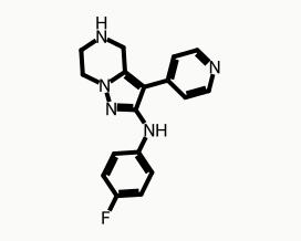 Fc1ccc(Nc2nn3c(c2-c2ccncc2)CNCC3)cc1